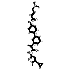 CC(C(=O)Nc1cc(C2CC2)[nH]n1)c1cccc(-c2ccc(NC(=O)C=CCN(C)C)cc2)c1